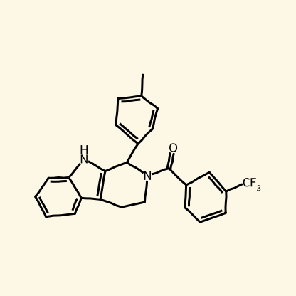 Cc1ccc(C2c3[nH]c4ccccc4c3CCN2C(=O)c2cccc(C(F)(F)F)c2)cc1